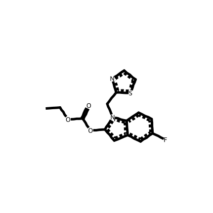 CCOC(=O)Oc1cc2cc(F)ccc2n1Cc1nccs1